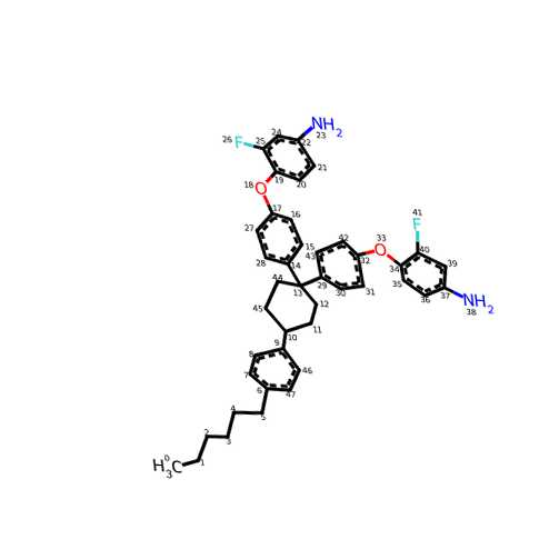 CCCCCCc1ccc(C2CCC(c3ccc(Oc4ccc(N)cc4F)cc3)(c3ccc(Oc4ccc(N)cc4F)cc3)CC2)cc1